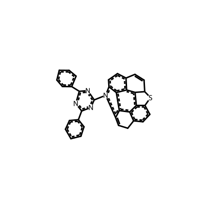 C1=CC2Sc3ccc4c5c3c2c2c1ccc1c2c5c(n1-c1nc(-c2ccccc2)nc(-c2ccccc2)n1)=CC4